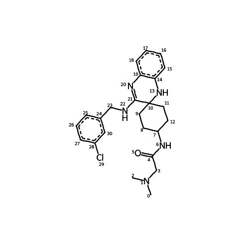 CN(C)CC(=O)NC1CCC2(CC1)Nc1ccccc1N=C2NCc1cccc(Cl)c1